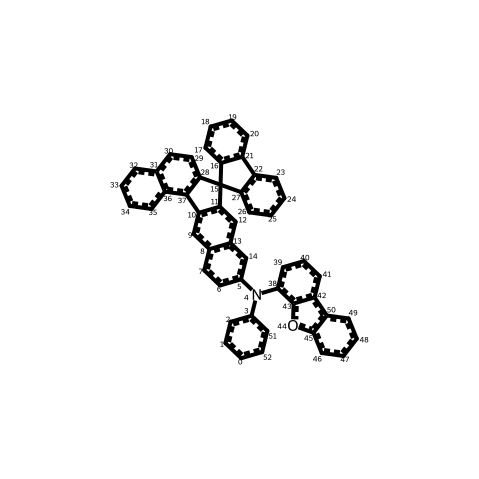 c1ccc(N(c2ccc3cc4c(cc3c2)C2(c3ccccc3-c3ccccc32)c2ccc3ccccc3c2-4)c2cccc3c2oc2ccccc23)cc1